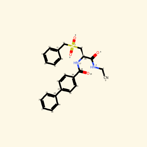 N#CCNC(=O)[C@H](CS(=O)(=O)Cc1ccccc1)NC(=O)c1ccc(-c2ccccc2)cc1